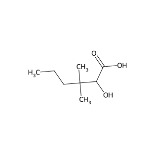 CCCC(C)(C)C(O)C(=O)O